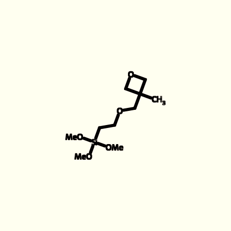 CO[Si](CCOCC1(C)COC1)(OC)OC